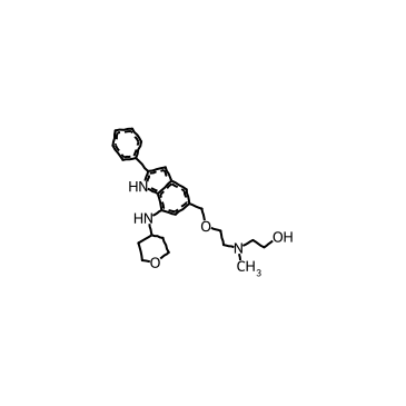 CN(CCO)CCOCc1cc(NC2CCOCC2)c2[nH]c(-c3ccccc3)cc2c1